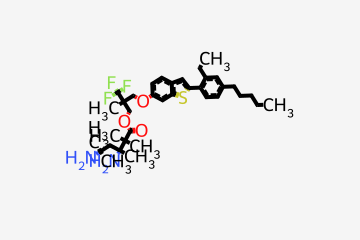 CCCCCc1ccc(-c2cc3ccc(OCC(C)(COC(=O)C(C)(C)C(C)(N)CC(C)(C)N)C(F)(F)F)cc3s2)c(CC)c1